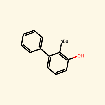 CCCCc1c(O)cccc1-c1ccccc1